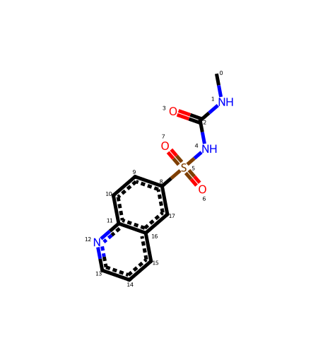 CNC(=O)NS(=O)(=O)c1ccc2ncccc2c1